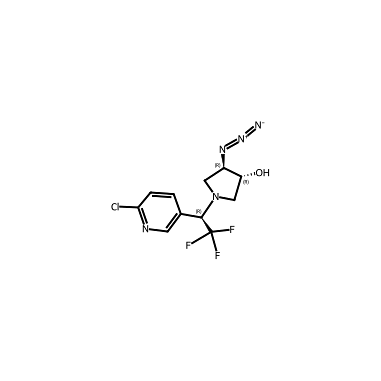 [N-]=[N+]=N[C@@H]1CN([C@H](c2ccc(Cl)nc2)C(F)(F)F)C[C@H]1O